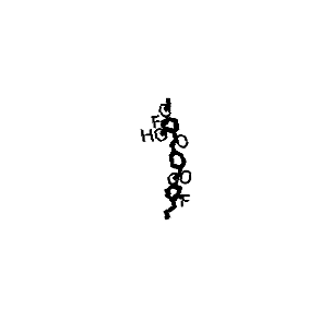 CCCc1ccc(OC(=O)C2CCC(CC(=O)c3ccc(OCC)c(F)c3O)CC2)cc1F